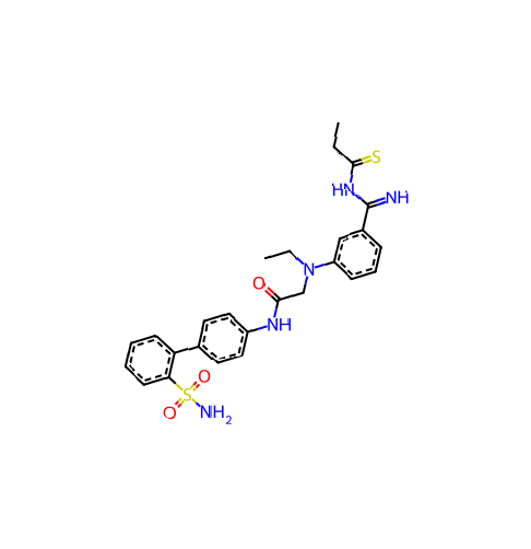 CCC(=S)NC(=N)c1cccc(N(CC)CC(=O)Nc2ccc(-c3ccccc3S(N)(=O)=O)cc2)c1